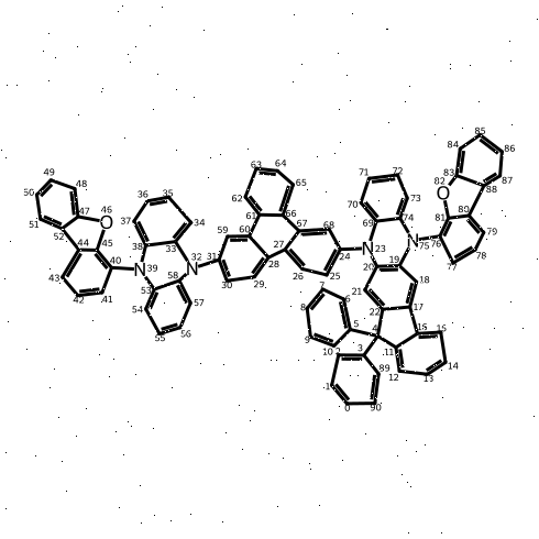 c1ccc(C2(c3ccccc3)c3ccccc3-c3cc4c(cc32)N(c2ccc3c5ccc(N6c7ccccc7N(c7cccc8c7oc7ccccc78)c7ccccc76)cc5c5ccccc5c3c2)c2ccccc2N4c2cccc3c2oc2ccccc23)cc1